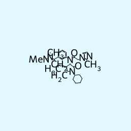 C=C(c1cccc(N(C(=O)Cn2ccnc2C)C2C(=O)N(C3CCCCC3)C(=C)/C2=C\C)c1)N(C)NC